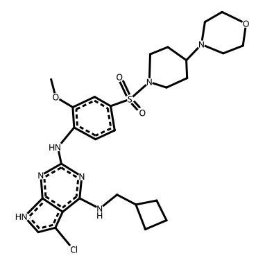 COc1cc(S(=O)(=O)N2CCC(N3CCOCC3)CC2)ccc1Nc1nc(NCC2CCC2)c2c(Cl)c[nH]c2n1